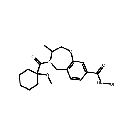 COC1(C(=O)N2Cc3ccc(C(=O)NO)cc3OCC2C)CCCCC1